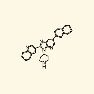 c1ccc2cc(-c3cnc4c(c3)nc(-c3cnc5ccccc5c3)n4C3CCNCC3)ccc2c1